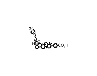 CC1(C)C(c2ccc(C(=O)O)cc2)=CCC2(C)C1CCC1(C)C2CCC2C3CCCC3(NC(=O)OCCCN3CC[S+]([O-])CC3)CC[C@]21C